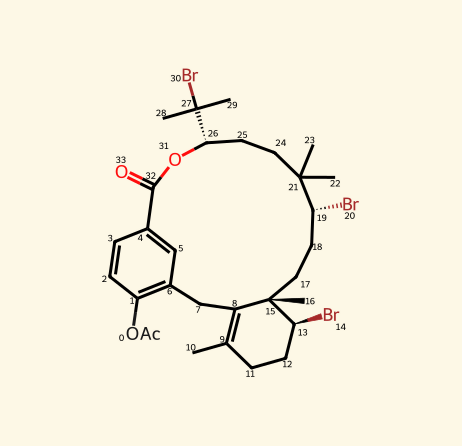 CC(=O)Oc1ccc2cc1CC1=C(C)CC[C@H](Br)[C@@]1(C)CC[C@@H](Br)C(C)(C)CC[C@@H](C(C)(C)Br)OC2=O